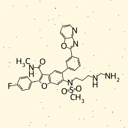 CNC(=O)c1c(-c2ccc(F)cc2)oc2cc(N(CCCNCN)S(C)(=O)=O)c(-c3cccc(-c4nc5ncccc5o4)c3)cc12